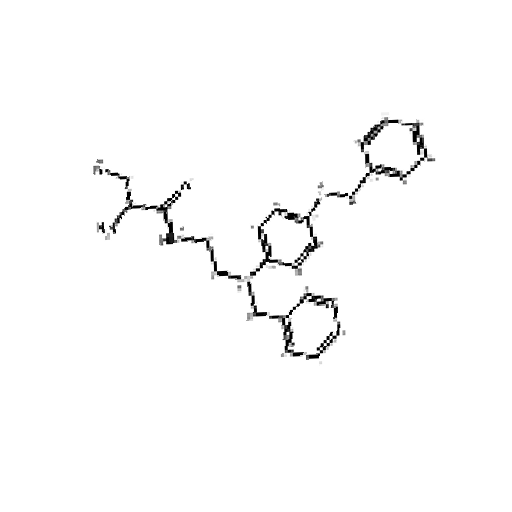 CC(C)CC(N)C(=O)NCCN(Cc1ccccc1)c1ccc(OCc2ccccc2)cc1